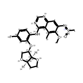 COc1c(/N=[SH](/C)=O)cc2ncnc(Nc3ccc(F)cc3O[C@@H]3CO[C@@H]4CCO[C@@H]43)c2c1C